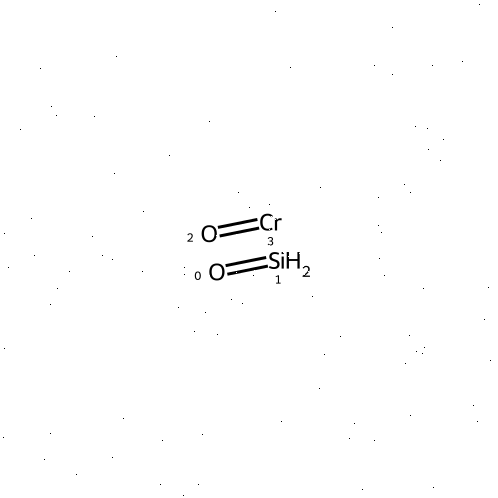 O=[SiH2].[O]=[Cr]